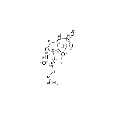 C=CC[S@+]([O-])[C@H]1CO[C@H]2[C@@H]1OC[C@H]2O[N+](=O)[O-]